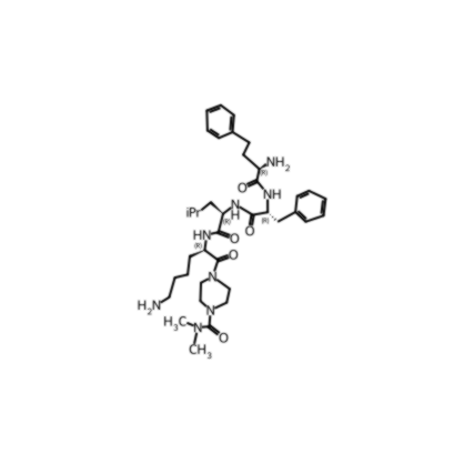 CC(C)C[C@@H](NC(=O)[C@@H](Cc1ccccc1)NC(=O)[C@H](N)CCc1ccccc1)C(=O)N[C@H](CCCCN)C(=O)N1CCN(C(=O)N(C)C)CC1